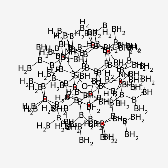 BBB(B)B(B(B)B)B(B(B(B)B)B(B)B)B(B(B(B(B)B)B(B)B)B(B(B)B)B(B)B)[Si](CN)(O[Si](CN)(B(B(B(B)B(B)B)B(B(B)B)B(B)B)B(B(B(B)B)B(B)B)B(B(B)B)B(B)B)B(B(B(BB)B(B)B)B(B(B)B)B(B)B)B(B(B(B)B)B(B)B)B(B(B)B)B(B)B)B(B(B(B(B)B)B(B)B)B(B(B)B)B(B)B)B(B(B(B)B)B(B)B)B(B(B)B)B(B)B